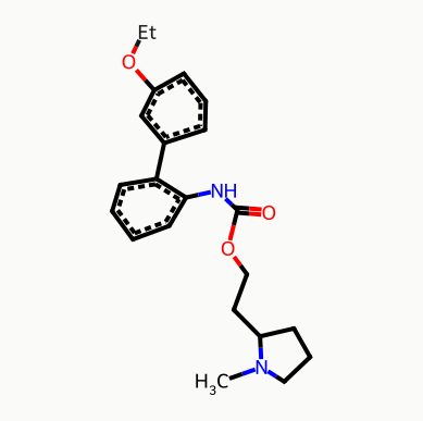 CCOc1cccc(-c2ccccc2NC(=O)OCCC2CCCN2C)c1